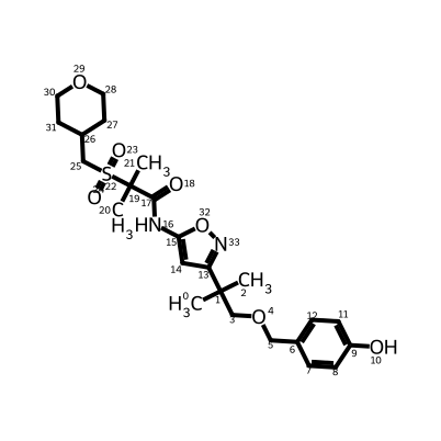 CC(C)(COCc1ccc(O)cc1)c1cc(NC(=O)C(C)(C)S(=O)(=O)CC2CCOCC2)on1